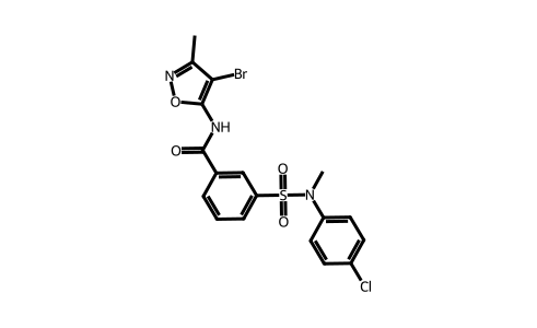 Cc1noc(NC(=O)c2cccc(S(=O)(=O)N(C)c3ccc(Cl)cc3)c2)c1Br